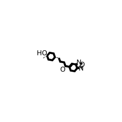 C[C@]1(O)CC[C@H](CCCC(=O)C2=Cc3nonc3CC2)CC1